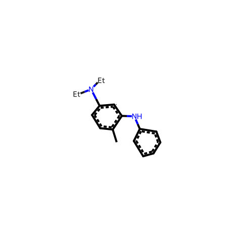 CCN(CC)c1[c]c(Nc2ccccc2)c(C)cc1